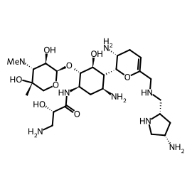 CN[C@@H]1[C@@H](O)[C@@H](O[C@H]2[C@H](NC(=O)[C@@H](O)CN)C[C@H](N)C([C@H]3OC(CNC[C@@H]4C[C@H](N)CN4)=CC[C@H]3N)[C@@H]2O)OC[C@]1(C)O